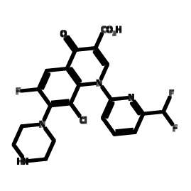 O=C(O)c1cn(-c2cccc(C(F)F)n2)c2c(Cl)c(N3CCNCC3)c(F)cc2c1=O